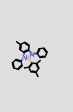 Cc1cc(C)c(B2N(c3ccccc3)c3ccc(C)cc3N2c2ccccc2)c(C)c1